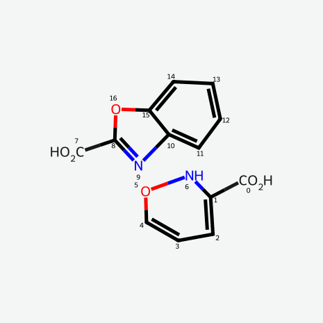 O=C(O)C1=CC=CON1.O=C(O)c1nc2ccccc2o1